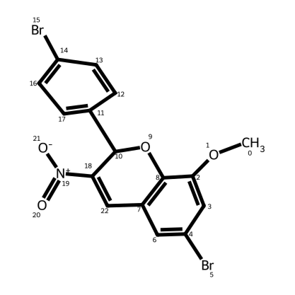 COc1cc(Br)cc2c1OC(c1ccc(Br)cc1)C([N+](=O)[O-])=C2